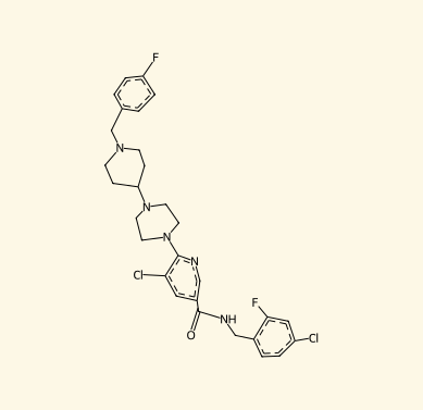 O=C(NCc1ccc(Cl)cc1F)c1cnc(N2CCN(C3CCN(Cc4ccc(F)cc4)CC3)CC2)c(Cl)c1